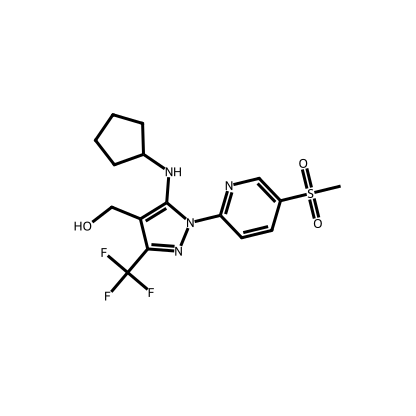 CS(=O)(=O)c1ccc(-n2nc(C(F)(F)F)c(CO)c2NC2CCCC2)nc1